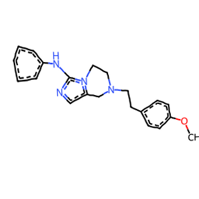 COc1ccc(CCN2CCn3c(cnc3Nc3ccccc3)C2)cc1